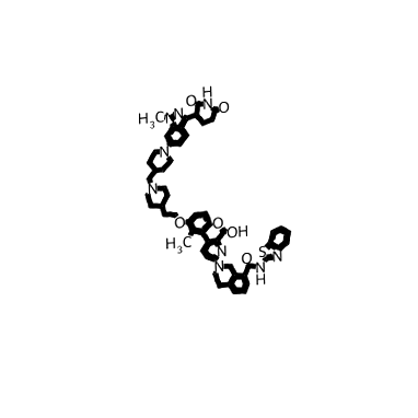 Cc1c(OCCC2CCN(CC3CCN(c4ccc5c(C6CCC(=O)NC6=O)nn(C)c5c4)CC3)CC2)cccc1-c1ccc(N2CCc3cccc(C(=O)Nc4nc5ccccc5s4)c3C2)nc1C(=O)O